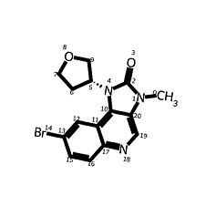 Cn1c(=O)n([C@@H]2CCOC2)c2c3cc(Br)ccc3ncc21